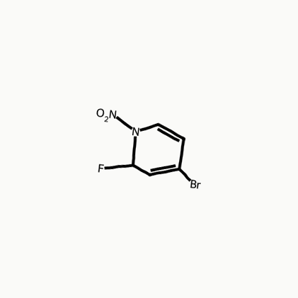 O=[N+]([O-])N1C=CC(Br)=CC1F